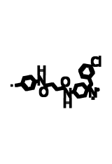 [CH2]c1ccc(NC(=O)CCC(=O)NC2CCC(Cc3cccc(Cl)c3)(N(C)C)CC2)cc1